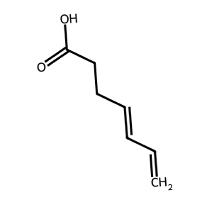 C=C/C=C/CCC(=O)O